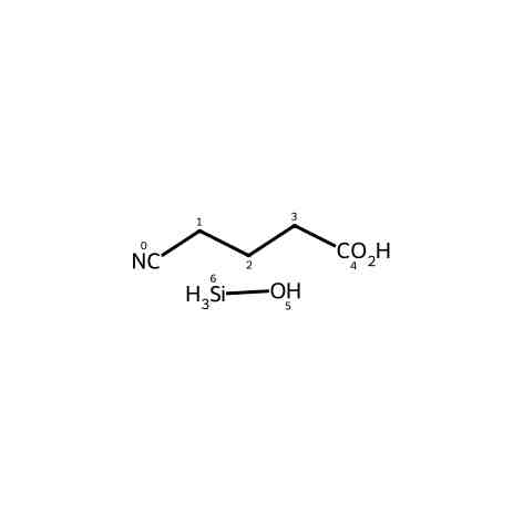 N#CCCCC(=O)O.O[SiH3]